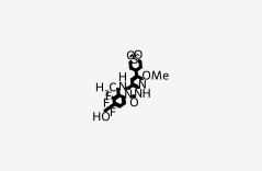 COc1nc2[nH]c(=O)nc(N[C@H](C)c3cccc(C(F)(F)CO)c3F)c2cc1C1CCS(=O)(=O)CC1